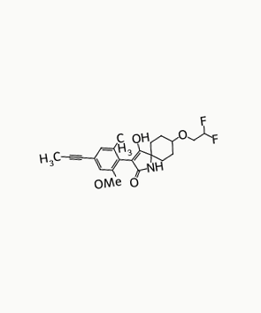 CC#Cc1cc(C)c(C2=C(O)C3(CCC(OCC(F)F)CC3)NC2=O)c(OC)c1